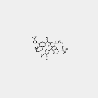 C[C@H](CNC(=O)c1cc(OC2CC2)c2ncccc2c1)c1cc2c(c(-c3ccc(F)c(Cl)c3)n1)OC[C@H]2C(F)(F)F